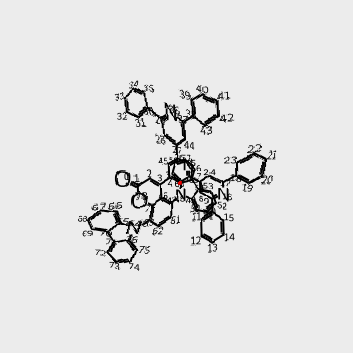 O=c1cc(-c2cc(-c3cc(-c4ccccc4)nc(-c4ccccc4)c3)nc(-c3cc(-c4ccccc4)nc(-c4ccccc4)c3)c2)c2c(-n3c4ccccc4c4ccccc43)ccc(-n3c4ccccc4c4ccccc43)c2o1